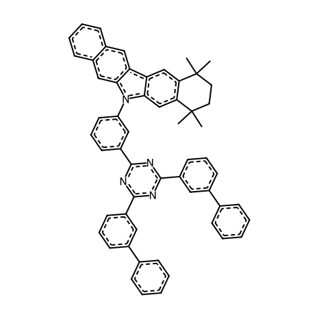 CC1(C)CCC(C)(C)c2cc3c(cc21)c1cc2ccccc2cc1n3-c1cccc(-c2nc(-c3cccc(-c4ccccc4)c3)nc(-c3cccc(-c4ccccc4)c3)n2)c1